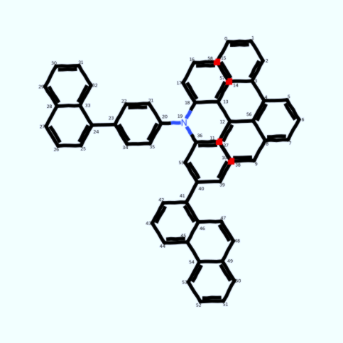 c1ccc(-c2cccc3cccc(-c4ccccc4N(c4ccc(-c5cccc6ccccc56)cc4)c4cccc(-c5cccc6c5ccc5ccccc56)c4)c23)cc1